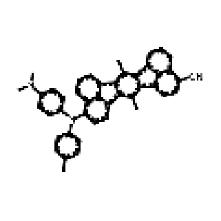 Cc1ccc(N(c2ccc(N(C)C)cc2)c2ccc3c4c(C)c5c6ccc(C#N)c7cccc(c5c(C)c4c4cccc2c43)c76)cc1